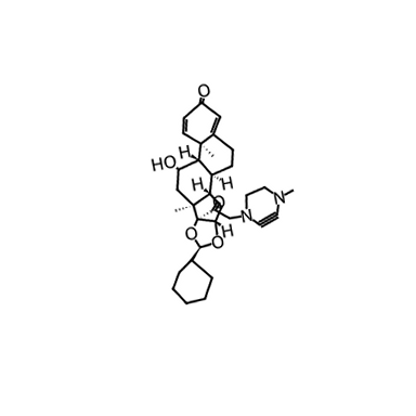 CN1C#CN(CC(=O)[C@@]23O[C@H](C4CCCCC4)O[C@H]2C[C@H]2[C@@H]4CCC5=CC(=O)C=C[C@]5(C)[C@H]4[C@@H](O)C[C@@]23C)CC1